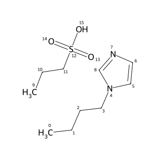 CCCCn1ccnc1.CCCS(=O)(=O)O